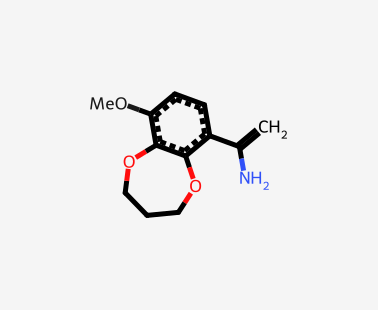 C=C(N)c1ccc(OC)c2c1OCCCO2